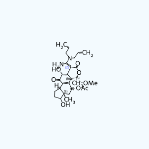 C=CCN(CC=C)/C(N)=C1\C(=O)O[C@H](COC)[C@@]2(C)C1=C(O)C(=O)C1=C2[C@H](OC(C)=O)C[C@]2(C)C(O)CC[C@@H]12